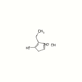 CCC1=[C]([Hf])CC=C1.Cl.Cl